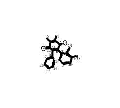 CC1=C(C)C(=O)C(c2cccc(C)c2C)=C(c2ccccc2)C1=O